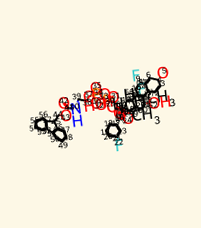 C[C@]12C=CC(=O)C=C1[C@@H](F)C[C@H]1[C@@H]3C[C@H]4O[C@@H](c5cccc(F)c5)O[C@@]4(C(=O)COP(=O)(O)OP(=O)(O)OCCNC(=O)OCC4c5ccccc5-c5ccccc54)[C@@]3(C)C[C@H](O)[C@@]12F